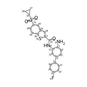 Nc1ccc(-c2ccc(F)cc2)cc1NC(=O)c1cc2cc(S(=O)(=O)C3CC3)ccc2s1